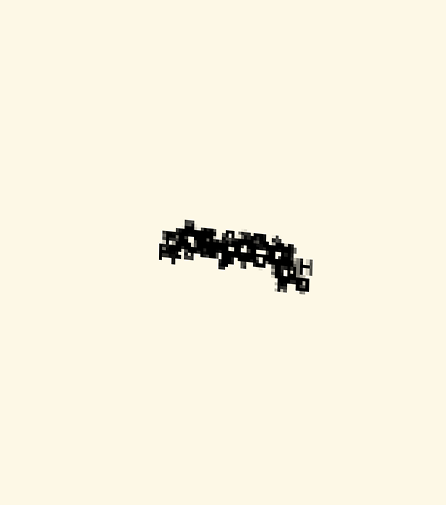 CC1c2cc(Oc3c(Cl)cnc4c3CCC(=O)N4)ccc2OC1c1nc2ccc(C(F)(F)F)cc2[nH]1